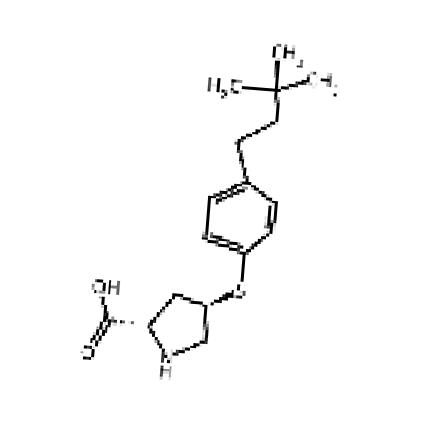 CC(C)(C)CCc1ccc(S[C@H]2CN[C@H](C(=O)O)C2)cc1